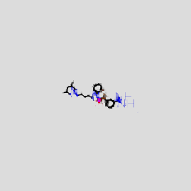 CC1CC(C)CN(CCCCCN2C(=O)C(c3cccc(C(=N)N)c3)Sc3ccccc32)C1